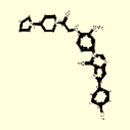 COc1cc(-n2cnc3cc(-c4ccc(Cl)cc4)sc3c2=O)ccc1OCC(=O)N1CCC(N2CCCC2)CC1